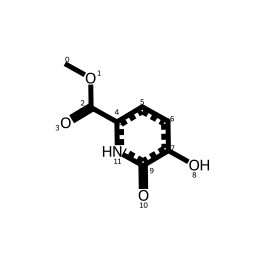 COC(=O)c1ccc(O)c(=O)[nH]1